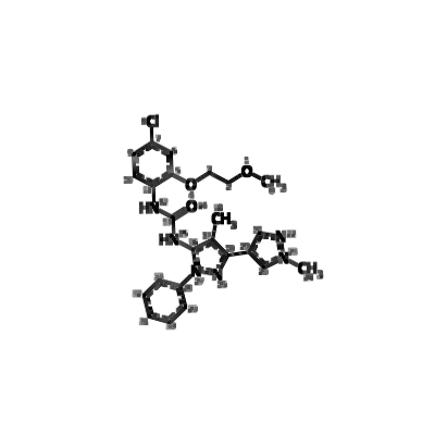 COCCOc1cc(Cl)ccc1NC(=O)Nc1c(C)c(-c2cnn(C)c2)nn1-c1ccccc1